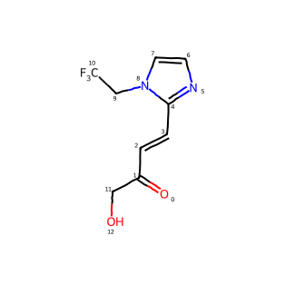 O=C(/C=C/c1nccn1CC(F)(F)F)CO